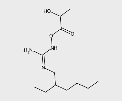 CCCCC(CC)CN=C(N)NOC(=O)C(C)O